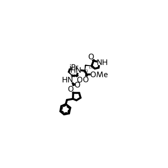 COC(=O)[C@H](C[C@@H]1CCNC1=O)NC(=O)[C@H](CC(C)C)NC(=O)OC1CCCC1Cc1ccccc1